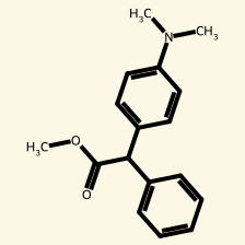 COC(=O)C(c1ccccc1)c1ccc(N(C)C)cc1